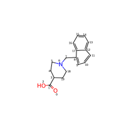 O=C(O)C1CCN(Cc2cccc3ccccc23)CC1